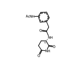 CC(=O)Nc1cccc(CC(=O)N[C@H]2CCC(=O)NC2=O)c1